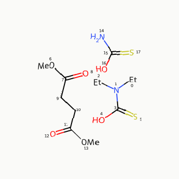 CCN(CC)C(O)=S.COC(=O)CCC(=O)OC.NC(O)=S